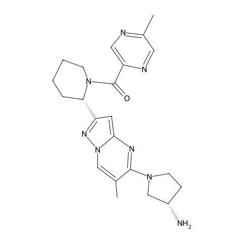 Cc1cnc(C(=O)N2CCCC[C@H]2c2cc3nc(N4CC[C@H](N)C4)c(C)cn3n2)cn1